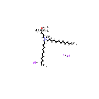 CCCCCCCCCCCC[N+](C)(CCCCCCCCCCCC)CCC[Si](C)(C)OC.I.I.I